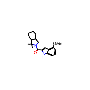 COc1cccc2[nH]c(C(=O)N3CC4CCCCC4C3(C)C)cc12